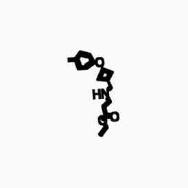 CCOC(=O)CCNC[C@H]1C[C@H](Oc2ccc(C)cc2)C1